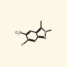 Cc1c2cc([N+](=O)[O-])c(F)cc2nn1C